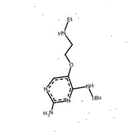 CCCCNc1nc(N)ncc1OCCNCC